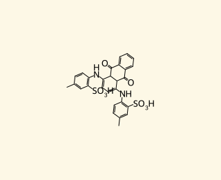 Cc1ccc(NC2=CC=C(Nc3ccc(C)cc3S(=O)(=O)O)C3C(=O)c4ccccc4C(=O)C23)c(S(=O)(=O)O)c1